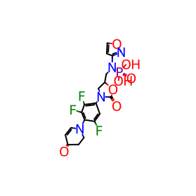 O=C1C=CN(c2c(F)cc(N3CC(CN(c4ccon4)P(=O)(O)O)OC3=O)c(F)c2F)CC1